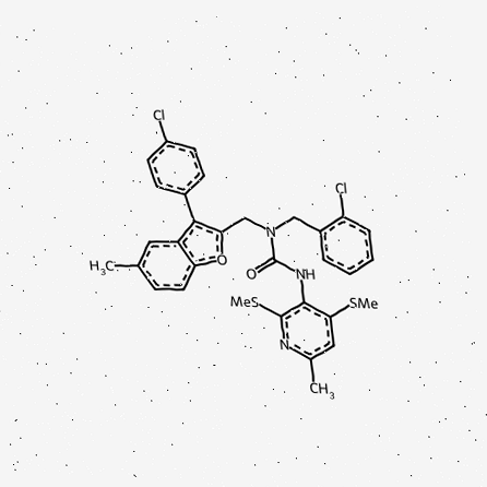 CSc1cc(C)nc(SC)c1NC(=O)N(Cc1ccccc1Cl)Cc1oc2ccc(C)cc2c1-c1ccc(Cl)cc1